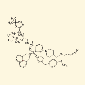 COc1ccc(Cn2nnc(-c3c(N4CCC(COCCN=[N+]=[N-])CC4)ccc(S(=O)(=O)NC[C@@H](CNC(=O)OC(C)(C)C)O[Si](C)(C)C(C)(C)C)c3S(=O)(=O)N(Cc3ccccc3)Cc3ccccc3)n2)cc1